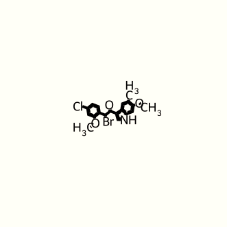 COc1cc2[nH]cc(C(=O)C(Br)c3ccc(Cl)cc3OC)c2cc1C